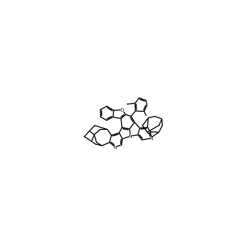 Cc1cccc(C)c1-c1c2oc3ccccc3c2c2c3c4c(ncc3n3c5cnc6c(c5c1c23)C1CC2CC(CC6C2)C1)C1CC2CC3CC4CC23C1